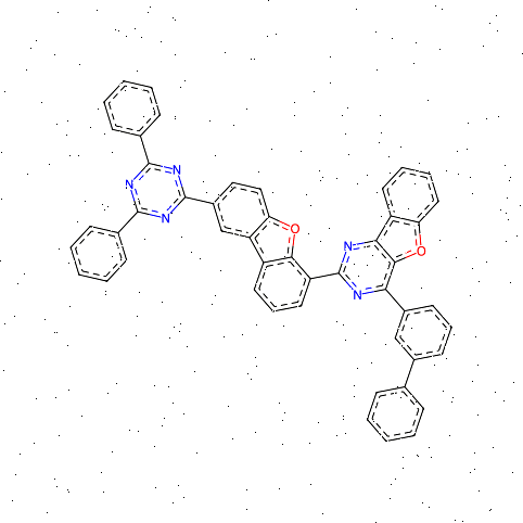 c1ccc(-c2cccc(-c3nc(-c4cccc5c4oc4ccc(-c6nc(-c7ccccc7)nc(-c7ccccc7)n6)cc45)nc4c3oc3ccccc34)c2)cc1